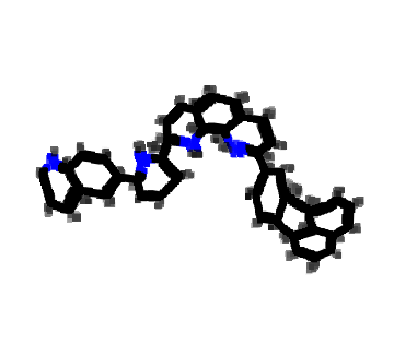 c1cc(-c2ccc3ncccc3c2)nc(-c2ccc3ccc4ccc(-c5ccc6c(c5)-c5cccc7cccc-6c57)nc4c3n2)c1